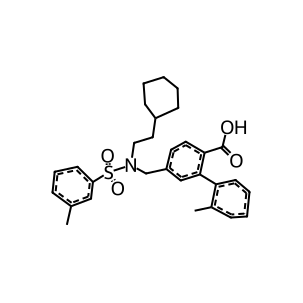 Cc1cccc(S(=O)(=O)N(CCC2CCCCC2)Cc2ccc(C(=O)O)c(-c3ccccc3C)c2)c1